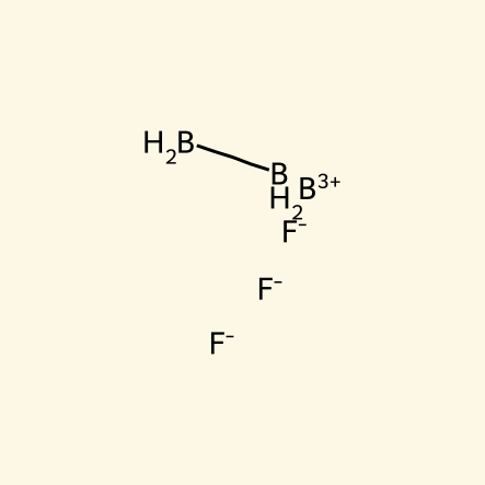 BB.[B+3].[F-].[F-].[F-]